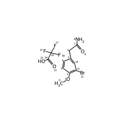 COc1ccc(CC(N)=O)cc1Br.O=C(O)C(F)(F)F